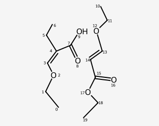 CCOC=C(CC)C(=O)O.CCOC=CC(=O)OCC